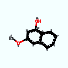 CCOc1[c]c2ccccc2c(O)c1